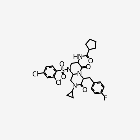 O=C(NC1CN(S(=O)(=O)c2ccc(Cl)cc2Cl)C2CN(C3CC3)C(=O)C(Cc3ccc(F)cc3)N2C1=O)C1CCCC1